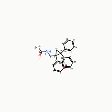 CC(C)C(=O)NCC1(c2ccccc2)CC1(c1ccccc1)c1ccccc1